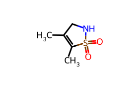 CC1=C(C)S(=O)(=O)NC1